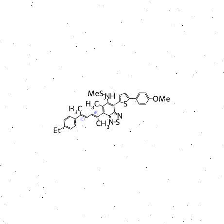 CCc1ccc(/C(C)=C/C=C(\C)c2c(C)c(NSC)c(-c3ccc(-c4ccc(OC)cc4)s3)c3nsnc23)cc1